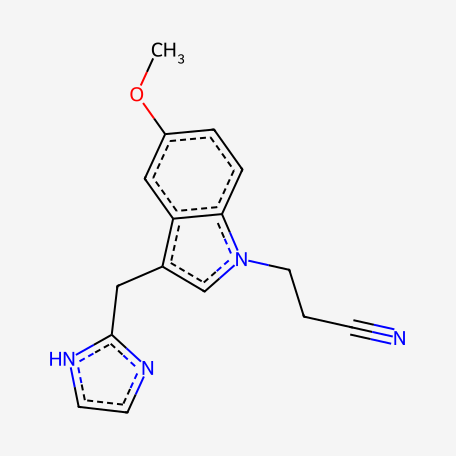 COc1ccc2c(c1)c(Cc1ncc[nH]1)cn2CCC#N